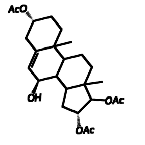 CC(=O)OC1[C@H](OC(C)=O)CC2C3C(CCC21C)C1(C)CC[C@@H](OC(C)=O)CC1=C[C@@H]3O